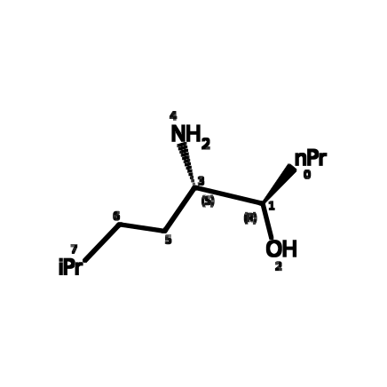 CCC[C@@H](O)[C@@H](N)CCC(C)C